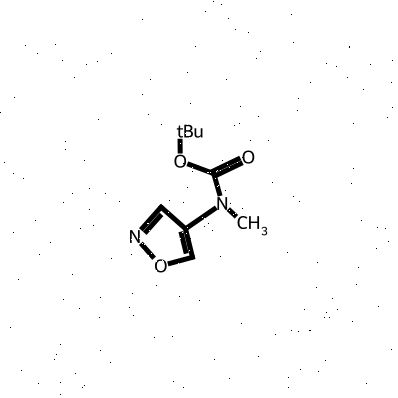 CN(C(=O)OC(C)(C)C)c1cnoc1